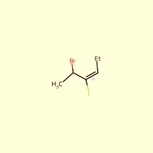 CC/C=C(/F)C(C)Br